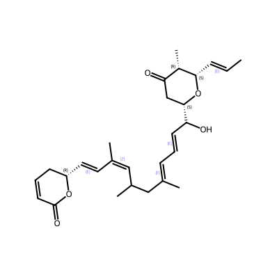 C/C=C/[C@@H]1O[C@H](C(O)/C=C/C=C(\C)CC(C)/C=C(C)\C=C\[C@H]2CC=CC(=O)O2)CC(=O)[C@@H]1C